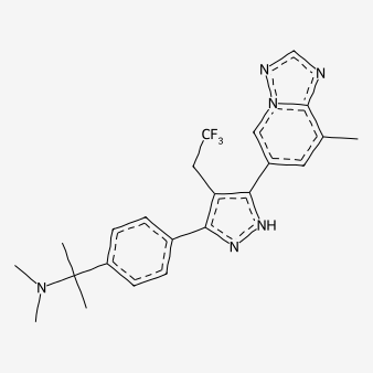 Cc1cc(-c2[nH]nc(-c3ccc(C(C)(C)N(C)C)cc3)c2CC(F)(F)F)cn2ncnc12